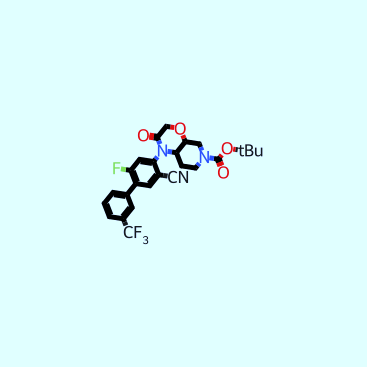 CC(C)(C)OC(=O)N1CCC2C(C1)OCC(=O)N2c1cc(F)c(-c2cccc(C(F)(F)F)c2)cc1C#N